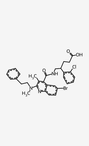 Cc1c(N(C)CCc2ccccc2)nc2ccc(Br)cc2c1C(=O)NCC(CCC(=O)O)c1ccccc1Cl